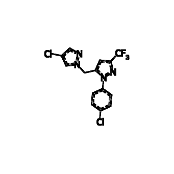 FC(F)(F)c1cc(Cn2cc(Cl)cn2)n(-c2ccc(Cl)cc2)n1